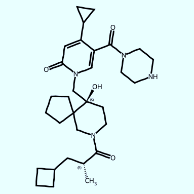 C[C@H](CC1CCC1)C(=O)N1CC[C@@](O)(Cn2cc(C(=O)N3CCNCC3)c(C3CC3)cc2=O)C2(CCCC2)C1